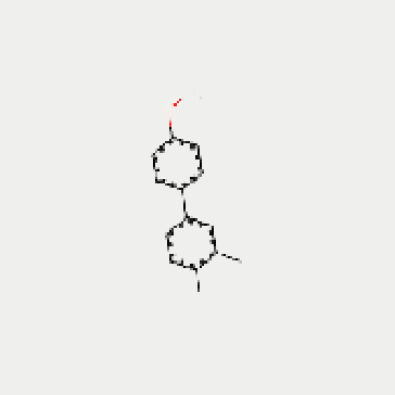 CCOC(=O)c1ccc(-c2ccc(OC(F)(F)F)cc2)cc1C